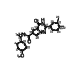 COc1ccc(C(C)NC(=O)c2cc3c(=O)[nH]c(-c4ccc(C)c(C)c4)nn3c2)cc1